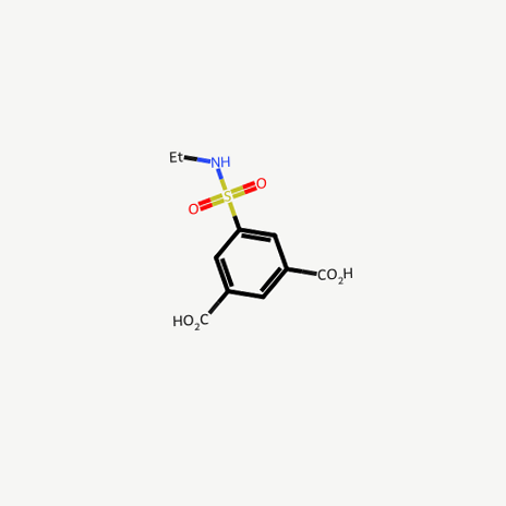 CCNS(=O)(=O)c1cc(C(=O)O)cc(C(=O)O)c1